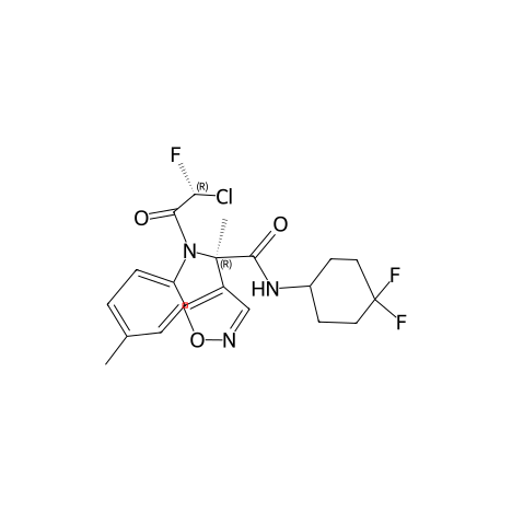 Cc1ccc(N(C(=O)[C@H](F)Cl)[C@@](C)(C(=O)NC2CCC(F)(F)CC2)c2cnoc2)cc1